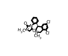 CN1Cc2c(Cl)cc(Cl)cc2[C@H](c2ccccc2N2C(=O)CN(C)C2=O)C1